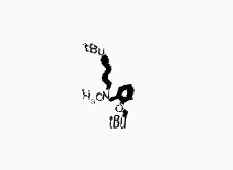 CN(CC=CC#CC(C)(C)C)Cc1ccccc1OCC(C)(C)C